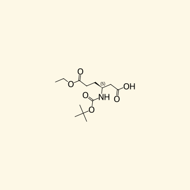 CCOC(=O)CC[C@@H](CC(=O)O)NC(=O)OC(C)(C)C